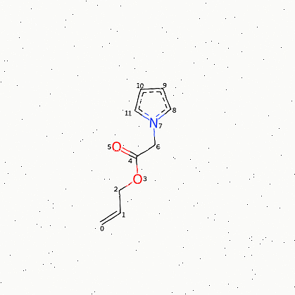 C=CCOC(=O)Cn1cccc1